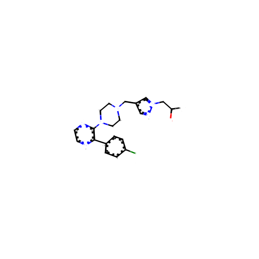 CCCC(O)Cn1cc(CN2CCN(c3nccnc3-c3ccc(F)cc3)CC2)cn1.Cl